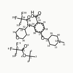 CC(C)(C)OC(=O)C(F)(F)F.CN1CCC(Oc2ccc(C(=O)O)c(N(C(=O)C(F)(F)F)C3CCOCC3)c2)CC1